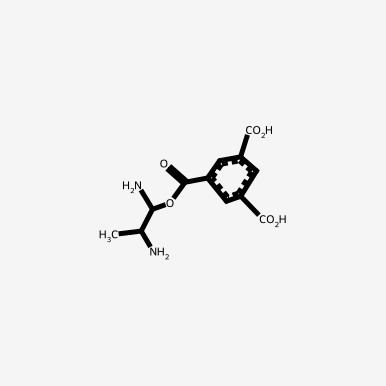 CC(N)C(N)OC(=O)c1cc(C(=O)O)cc(C(=O)O)c1